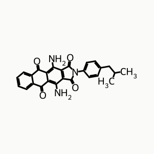 CC(C)Cc1ccc(-n2c(=O)c3c(N)c4c(=O)c5ccccc5c(=O)c4c(N)c3c2=O)cc1